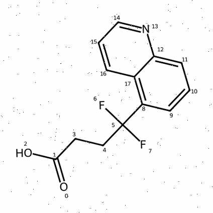 O=C(O)CCC(F)(F)c1cccc2ncccc12